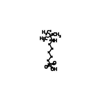 CC(C)(C)NCCCCCS(=O)(=O)O